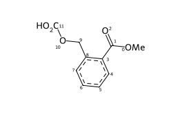 COC(=O)c1ccccc1COC(=O)O